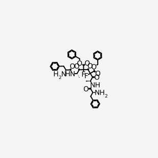 C[C@H](NC(=O)[C@@H](N)Cc1ccccc1)C(=O)C(F)(C(=O)OCc1ccccc1)C(=O)C(F)(C(=O)OCc1ccccc1)C(=O)[C@H](C)NC(=O)[C@@H](N)Cc1ccccc1